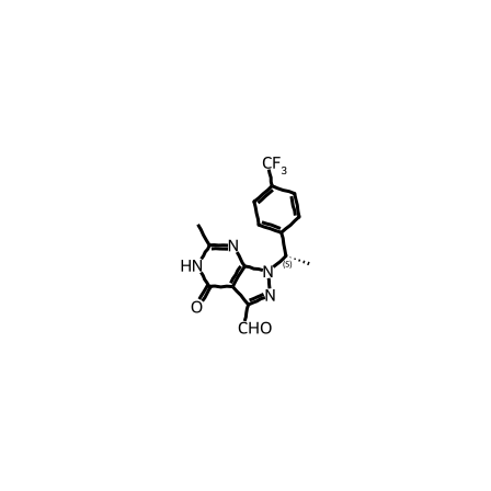 Cc1nc2c(c(C=O)nn2[C@@H](C)c2ccc(C(F)(F)F)cc2)c(=O)[nH]1